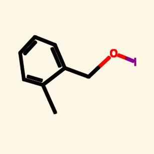 Cc1ccccc1COI